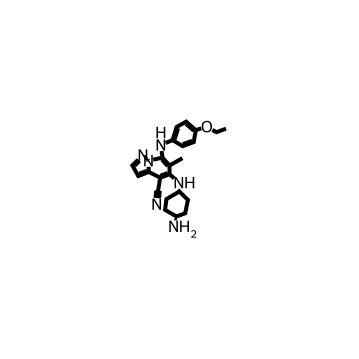 CCOc1ccc(Nc2c(C)c(N[C@H]3CC[C@H](N)CC3)c(C#N)c3ccnn23)cc1